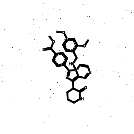 COC(=O)c1ccc(C2=NC(C3CCCNC3=O)=C3C=NC=C[N+]23NCc2ccc(OC)cc2OC)cc1